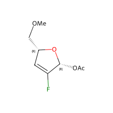 COC[C@H]1C=C(F)[C@@H](OC(C)=O)O1